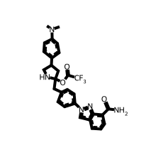 CN(C)c1ccc(C2CNC(Cc3ccc(-n4cc5cccc(C(N)=O)c5n4)cc3)(OC(=O)C(F)(F)F)C2)cc1